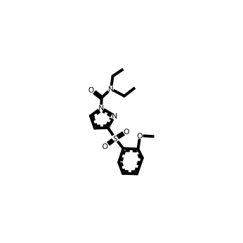 CCN(CC)C(=O)n1ccc(S(=O)(=O)c2ccccc2OC)n1